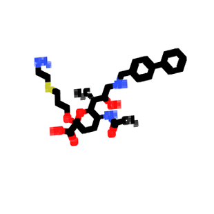 CC(=O)N[C@@H]1CC[C@](OCCCSCCN)(C(=O)O)O[C@H]1[C@H](C)C(O)CNCc1ccc(-c2ccccc2)cc1